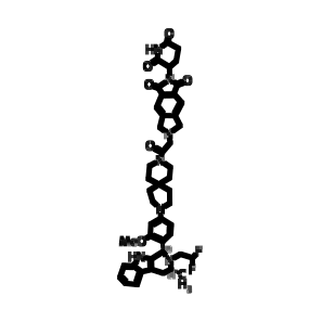 COc1cc(N2CCC3(CCN(C(=O)CN4Cc5cc6c(cc5C4)C(=O)N(C4CCC(=O)NC4=O)C6=O)CC3)CC2)ccc1[C@@H]1c2[nH]c3ccccc3c2C[C@@H](C)N1CC(F)F